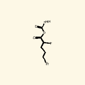 CCCCCCC(=O)OC(=O)C(F)CCCC(C)C